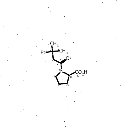 CCC(C)(C)CC(=O)N1CCCC1C(=O)O